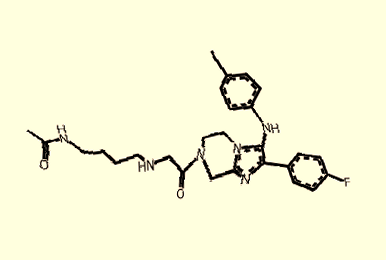 CC(=O)NCCCCNCC(=O)N1CCn2c(nc(-c3ccc(F)cc3)c2Nc2ccc(C)cc2)C1